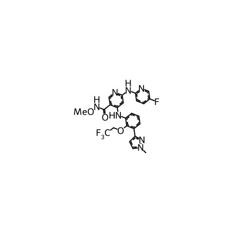 CONC(=O)c1cnc(Nc2ccc(F)cn2)cc1Nc1cccc(-c2ccn(C)n2)c1OCC(F)(F)F